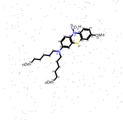 CCCCCCCCCCCCCCCN(CCCCCCCCCCCCCCC)c1ccc2c(c1)Sc1cc(OC)ccc1N2C(=O)O